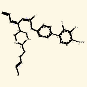 C=C/C=C(\C=C(\F)Cc1ccc(-c2ccc(CCCCCC)c(F)c2F)cc1)C1COC(CC/C=C/C)OC1